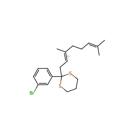 CC(C)=CCC/C(C)=C/CC1(c2cccc(Br)c2)SCCCS1